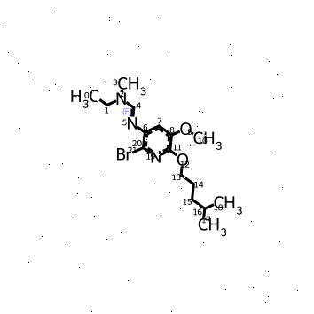 CCN(C)/C=N/c1cc(OC)c(OCCCC(C)C)nc1Br